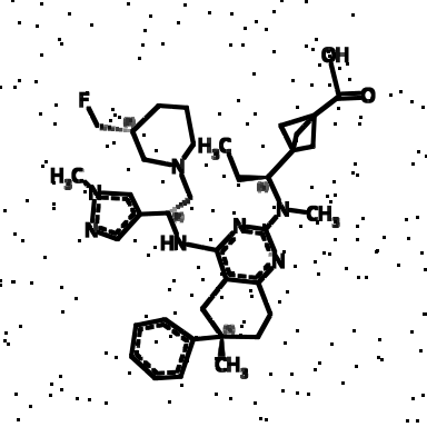 CC[C@H](N(C)c1nc2c(c(N[C@@H](CN3CCC[C@@H](CF)C3)c3cnn(C)c3)n1)C[C@@](C)(c1ccccc1)CC2)C12CC(C(=O)O)(C1)C2